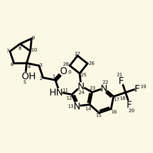 O=C(CCC1(O)CCC2CC21)Nc1nc2ccc(C(F)(F)F)nc2n1C1CCC1